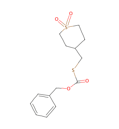 O=C(OCc1ccccc1)SCC1CCS(=O)(=O)CC1